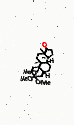 COC[C@]12CCC(OC)(OC)C[C@H]1CC[C@@H]1[C@]2(C)CC[C@]2(C)C(=O)CC[C@@]12C